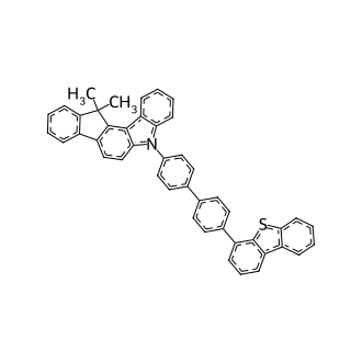 CC1(C)c2ccccc2-c2ccc3c(c21)c1ccccc1n3-c1ccc(-c2ccc(-c3cccc4c3sc3ccccc34)cc2)cc1